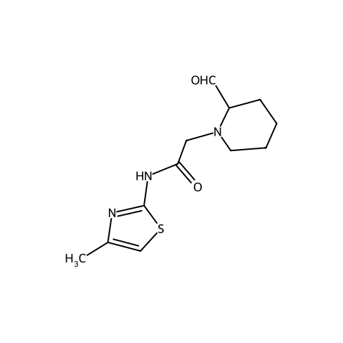 Cc1csc(NC(=O)CN2CCCCC2C=O)n1